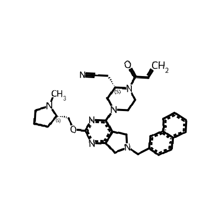 C=CC(=O)N1CCN(c2nc(OC[C@@H]3CCCN3C)nc3c2CN(Cc2ccc4ccccc4c2)C3)C[C@@H]1CC#N